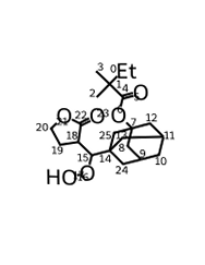 CCC(C)(C)C(=O)OC12CC3CC(C1)CC(C(OO)C1CCOC1=O)(C3)C2